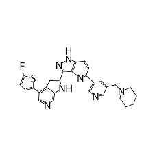 Fc1ccc(-c2cncc3[nH]c(-c4n[nH]c5ccc(-c6cncc(CN7CCCCC7)c6)nc45)cc23)s1